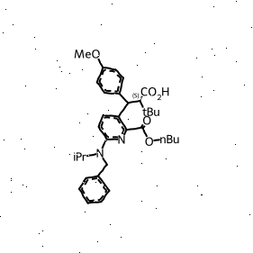 CCCCOC(=O)c1nc(N(Cc2ccccc2)C(C)C)ccc1C(c1ccc(OC)cc1)[C@H](C(=O)O)C(C)(C)C